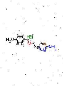 Br.Cc1ccc(COCCC2=NN=C(N)SC2)cc1